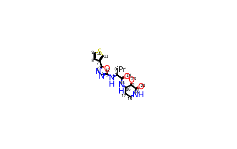 CC(C)C(Nc1nnc(-c2ccsc2)o1)C(=O)NC1CCNC(=O)C1=O